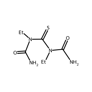 CCN(C(N)=O)C(=S)N(CC)C(N)=O